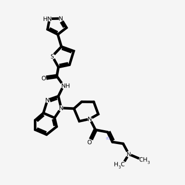 CN(C)C/C=C/C(=O)N1CCCC(n2c(NC(=O)c3ccc(-c4cn[nH]c4)s3)nc3ccccc32)C1